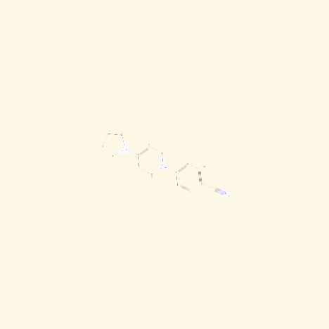 N#Cc1ccc(N2CC=C(N3CCCC3)CC2)cc1